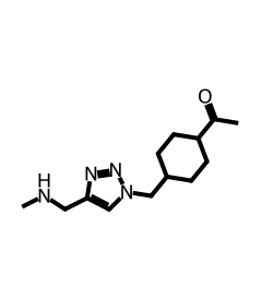 CNCc1cn(CC2CCC(C(C)=O)CC2)nn1